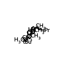 CC(C)CCC[C@H](C)[C@H]1CC[C@H]2C3=CC=C4CC(O[Si](C)(C)C(C)(C)C)CC[C@]4(C)[C@H]3CC[C@]12C